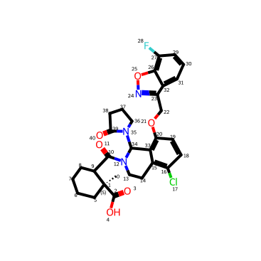 C[C@]1(C(=O)O)CCCCC1C(=O)N1CCc2c(Cl)ccc(OCc3noc4c(F)cccc34)c2C1N1CCCC1=O